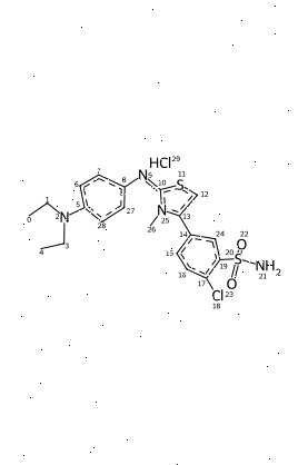 CCN(CC)c1ccc(N=c2scc(-c3ccc(Cl)c(S(N)(=O)=O)c3)n2C)cc1.Cl